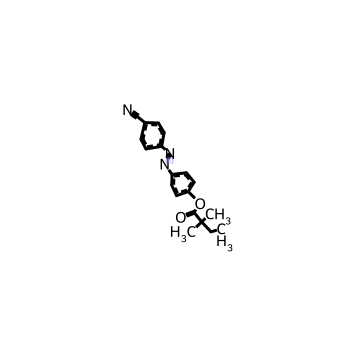 CCC(C)(C)C(=O)Oc1ccc(/N=N/c2ccc(C#N)cc2)cc1